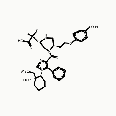 COC[C@]1(O)CCCC[C@H]1n1cnc(C(=O)N2CCNC[C@H]2CCOc2ccc(C(=O)O)cc2)c1-c1ccccc1.O=C(O)C(F)(F)F